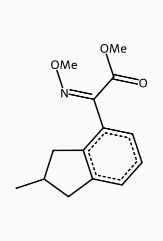 CON=C(C(=O)OC)c1cccc2c1CC(C)C2